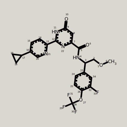 COCC(NC(=O)c1cc(=O)[nH]c(-c2ccc(C3CC3)cn2)n1)c1ccc(OC(F)(F)F)c(F)c1